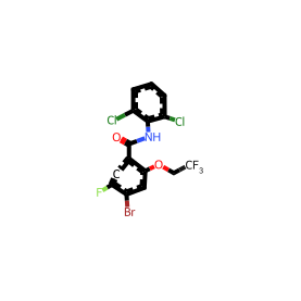 O=C(Nc1c(Cl)cccc1Cl)c1cc(F)c(Br)cc1OCC(F)(F)F